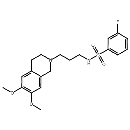 COc1cc2c(cc1OC)CN(CCCNS(=O)(=O)c1cccc(F)c1)CC2